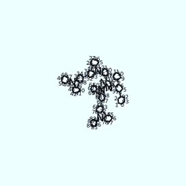 c1ccc(-c2ccc(-c3ccccc3)c(-c3cc(-c4cccc(-n5c6ccccc6c6cc(-c7ccc8c(c7)c7ccccc7n8-c7ccccc7)ccc65)c4)nc(-n4c5ccccc5c5cc(-c6ccc7c(c6)c6ccccc6n7-c6ccccc6)ccc54)n3)c2)cc1